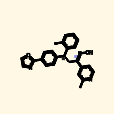 Cc1cc(/C(C[C@H](c2ccc(-c3ncco3)cc2)c2ccccc2C)=N\O)ccn1